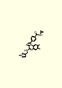 Cc1cc2nc(NCc3ccn(C)n3)c3ncc(-c4ccc(C(=O)NC5CC5)cc4)n3c2cc1C